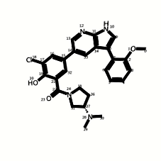 COc1ccccc1-c1c[nH]c2ncc(-c3cc(Cl)c(O)c(C(=O)N4CC[C@H](N(C)C)C4)c3)cc12